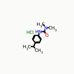 CC(C)c1ccc(NC(=O)N(C)C)cc1.Cl